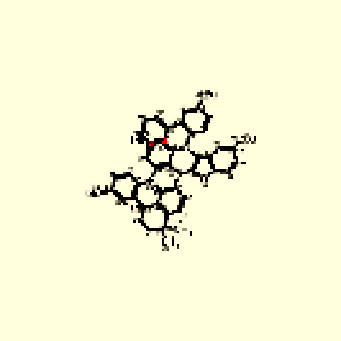 CC(C)(C)c1ccc(N2c3cc(C(C)(C)C)cc4c3B(c3ccc5c6c3N4c3ccc(C(C)(C)C)cc3C6(C)CCC5(C)C)c3oc4ccc(C(C)(C)C)cc4c32)c(-c2ccccc2)c1